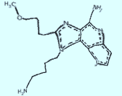 COCCc1nc2c(N)nc3ccsc3c2n1CCCCN